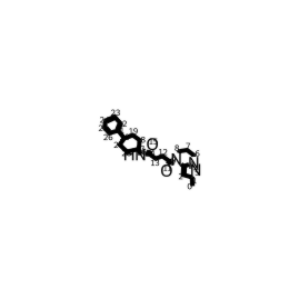 Cc1cc2n(n1)CCCN2C(=O)CCC(=O)NC1CCC(c2ccccc2)CC1